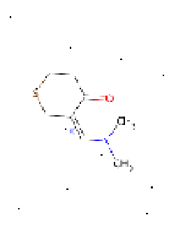 CN(C)/C=C1/CSCCC1=O